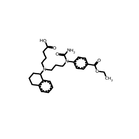 CCOC(=O)c1ccc(N(CCCN(CCCC(=O)O)C2CCCc3ccccc32)C(N)=O)cc1